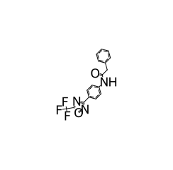 O=C(Cc1ccccc1)Nc1ccc(-c2noc(C(F)(F)F)n2)cc1